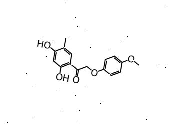 COc1ccc(OCC(=O)c2cc(C)c(O)cc2O)cc1